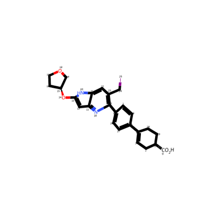 O=C(O)C1CC=C(c2ccc(-c3nc4cc(O[C@H]5CCOC5)[nH]c4cc3CI)cc2)CC1